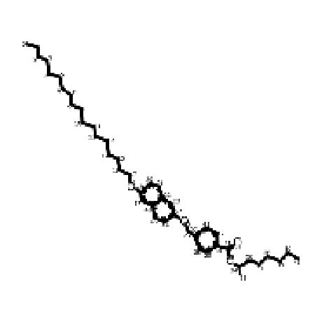 CCCCCCCCCCCCCCCCCCOc1ccc2cc(OCc3ccc(C(=O)O[C@H](C)CCCCCC)cc3)ccc2c1